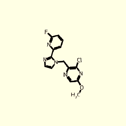 COc1cnc(Cn2ccnc2-c2cccc(F)n2)c(Cl)n1